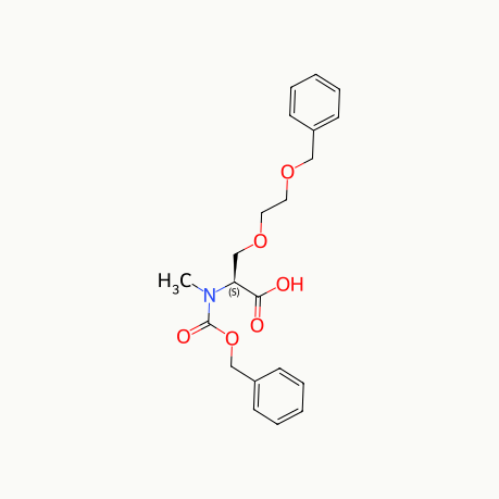 CN(C(=O)OCc1ccccc1)[C@@H](COCCOCc1ccccc1)C(=O)O